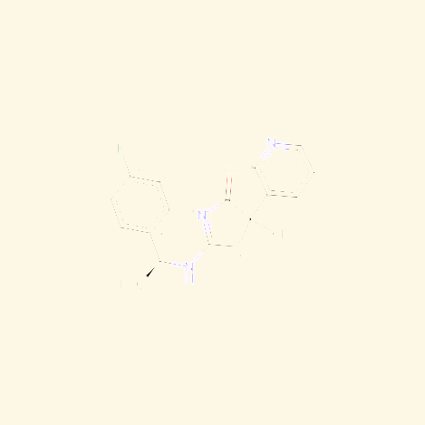 C[C@H](NC1=NC(=O)C(C)(c2cccnc2)S1)c1ccc(F)cc1